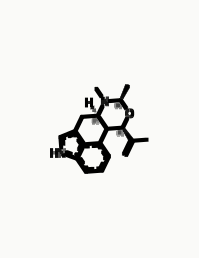 C=C(C)[C@@H]1O[C@H](C)N(C)[C@@H]2Cc3c[nH]c4cccc(c34)C21